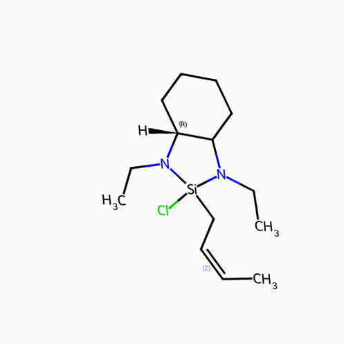 C/C=C\C[Si]1(Cl)N(CC)C2CCCC[C@H]2N1CC